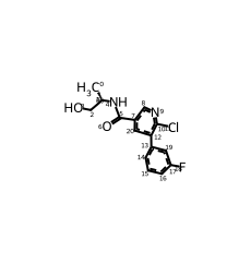 C[C@H](CO)NC(=O)c1cnc(Cl)c(-c2cccc(F)c2)c1